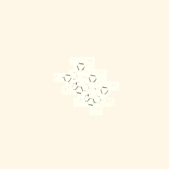 CC(C)(c1c(O)cc(O)c2c1O[C@H](c1ccc(O)c(O)c1)[C@H](O)[C@H]2C(C)(C)c1c(O)cc(O)c2c1O[C@H](c1ccc(O)c(O)c1)[C@H](O)C2)[C@H]1c2c(O)cc(O)cc2O[C@H](c2ccc(O)c(O)c2)[C@@H]1O